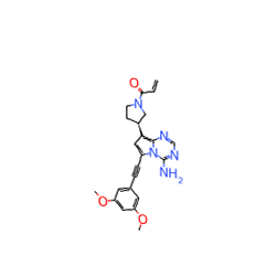 C=CC(=O)N1CC[C@H](c2cc(C#Cc3cc(OC)cc(OC)c3)n3c(N)ncnc23)C1